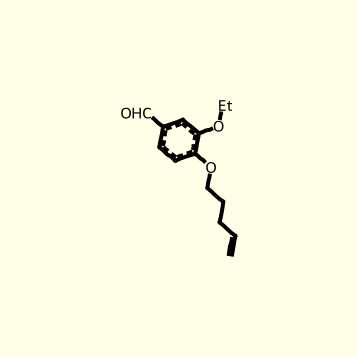 C=CCCCOc1ccc(C=O)cc1OCC